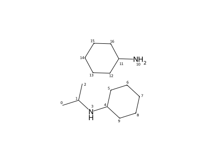 CC(C)NC1CCCCC1.NC1CCCCC1